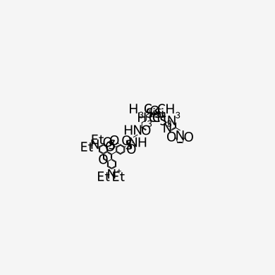 CCN(CC)c1ccc2c(-c3ccc(S(=O)(=O)NCCNC(=O)CCC[Si](C)(C)O[Si](C)(C)CSc4ncc(CN5C(=O)C=CC5=O)cn4)cc3S(=O)(=O)[O-])c3ccc(=[N+](CC)CC)cc-3oc2c1